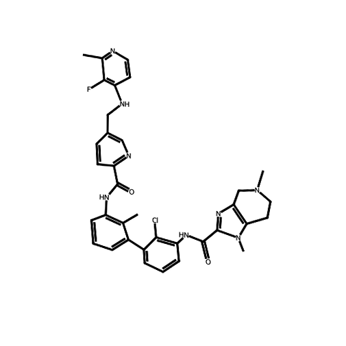 Cc1nccc(NCc2ccc(C(=O)Nc3cccc(-c4cccc(NC(=O)c5nc6c(n5C)CCN(C)C6)c4Cl)c3C)nc2)c1F